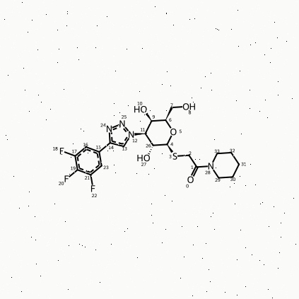 O=C(CS[C@@H]1O[C@H](CO)[C@H](O)[C@H](n2cc(-c3cc(F)c(F)c(F)c3)nn2)[C@H]1O)N1CCCCC1